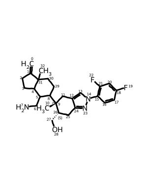 C=C1CCC2C(CN)C([C@]3(C)Cc4cn(-c5ccc(F)cc5F)nc4C[C@@H]3CO)CCC12C